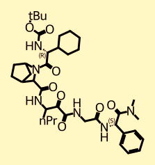 CCCC(NC(=O)C1C2CCC(C2)N1C(=O)[C@H](NC(=O)OC(C)(C)C)C1CCCCC1)C(=O)C(=O)NCC(=O)N[C@H](C(=O)N(C)C)c1ccccc1